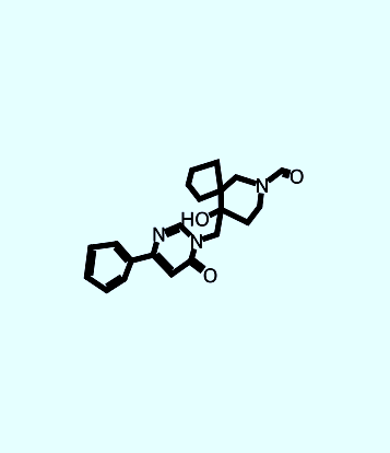 O=CN1CCC(O)(Cn2cnc(-c3ccccc3)cc2=O)C2(CCCC2)C1